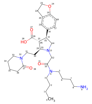 CCCCN(CCCCN)C(=O)CN1C[C@H](c2ccc3c(c2)CCO3)[C@@H](C(=O)O)[C@@H]1CCN1CCCCC1=O